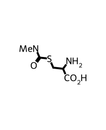 CNC(=O)SCC(N)C(=O)O